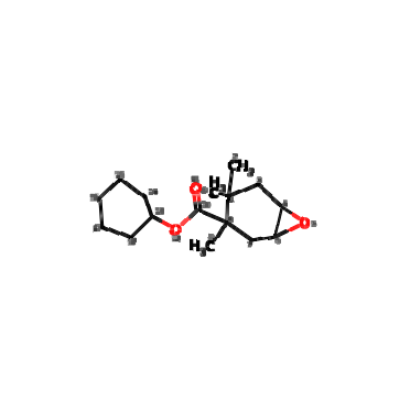 CC1(C)CC2OC2CC1(C)C(=O)OC1CCCCC1